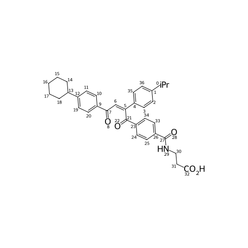 CC(C)c1ccc(C(=CC(=O)c2ccc(C3CCCCC3)cc2)C(=O)c2ccc(C(=O)NCCC(=O)O)cc2)cc1